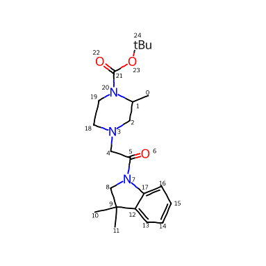 CC1CN(CC(=O)N2CC(C)(C)c3ccccc32)CCN1C(=O)OC(C)(C)C